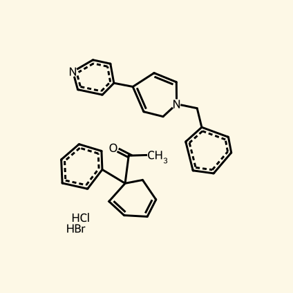 Br.C1=CN(Cc2ccccc2)CC=C1c1ccncc1.CC(=O)C1(c2ccccc2)C=CC=CC1.Cl